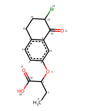 CCC(Oc1ccc2c(c1)C(=O)C(Br)CC2)C(=O)O